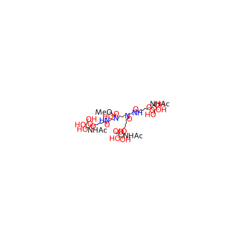 COCC(O)C(=O)N(CCCCN(CCCNC(=O)CCCCCO[C@@H]1OC(CO)[C@H](O)C(O)C1NC(C)=O)C(=O)CCCCCO[C@@H]1OC(CO)[C@H](O)C(O)C1NC(C)=O)CCCNC(=O)CCCCCO[C@@H]1OC(CO)[C@H](O)C(O)C1NC(C)=O